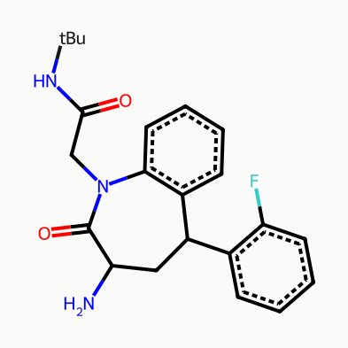 CC(C)(C)NC(=O)CN1C(=O)C(N)CC(c2ccccc2F)c2ccccc21